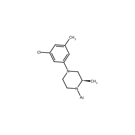 CC(=O)N1CCN(c2cc(C)cc(Cl)c2)C[C@H]1C